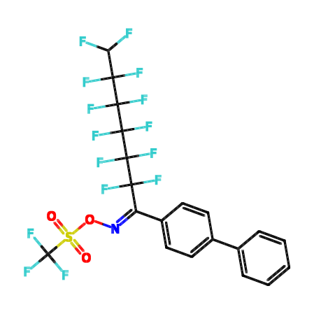 O=S(=O)(ON=C(c1ccc(-c2ccccc2)cc1)C(F)(F)C(F)(F)C(F)(F)C(F)(F)C(F)(F)C(F)F)C(F)(F)F